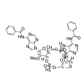 CO[C@H]1[C@H](n2cnc3c(NC(=O)c4ccccc4)ncnc32)O[C@]2(C)CO[P@@](=O)(S)O[C@H]3[C@H]4OC[C@]3(CO[P@@](=O)(S)O[C@@H]12)O[C@H]4n1cnc2c(NC(=O)c3ccccc3)ncnc21